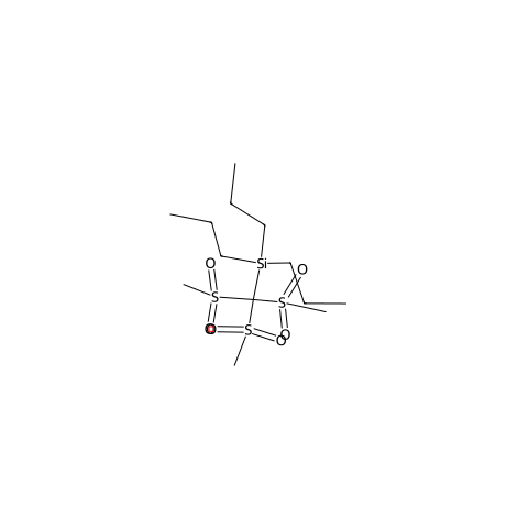 CCC[Si](CCC)(CCC)C(S(C)(=O)=O)(S(C)(=O)=O)S(C)(=O)=O